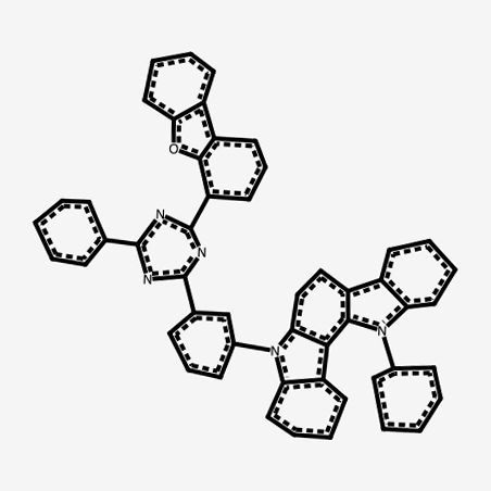 c1ccc(-c2nc(-c3cccc(-n4c5ccccc5c5c4ccc4c6ccccc6n(-c6ccccc6)c45)c3)nc(-c3cccc4c3oc3ccccc34)n2)cc1